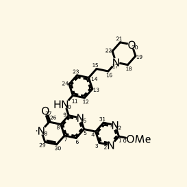 COc1ncc(-c2cc3c(c(Nc4ccc(CCN5CCOCC5)cc4)n2)C(=O)[N]C=C3)cn1